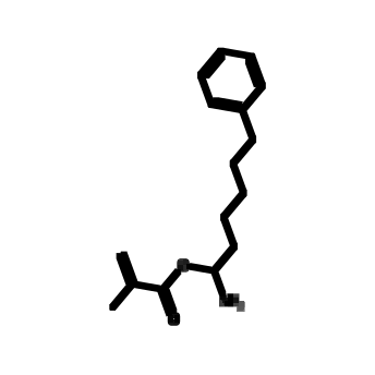 C=C(C)C(=O)OC(N)CCCCCc1ccccc1